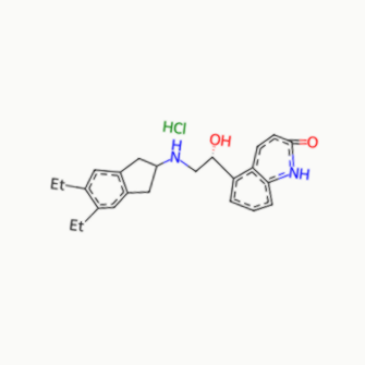 CCc1cc2c(cc1CC)CC(NC[C@H](O)c1cccc3[nH]c(=O)ccc13)C2.Cl